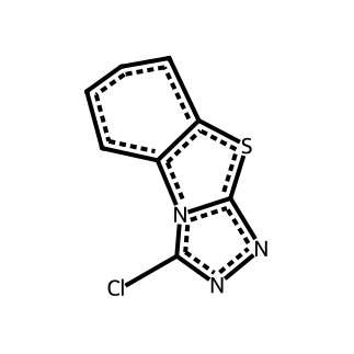 Clc1nnc2sc3ccccc3n12